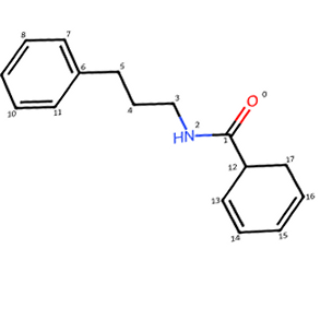 O=C(NCCCc1ccccc1)C1C=CC=CC1